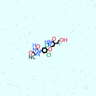 C[C@@H](CO)c1cc(Oc2c(Cl)cc(N3C(=O)NC(=O)C(C#N)N3C)cc2Cl)n[nH]c1=O